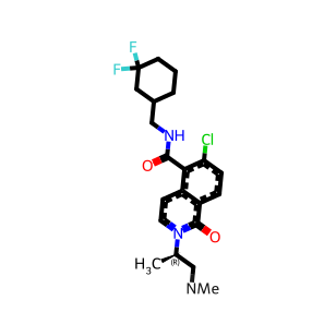 CNC[C@@H](C)n1ccc2c(C(=O)NCC3CCCC(F)(F)C3)c(Cl)ccc2c1=O